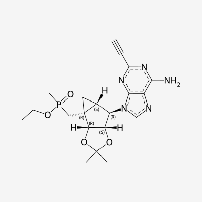 C#Cc1nc(N)c2ncn([C@H]3[C@@H]4OC(C)(C)O[C@@H]4[C@@]4(CP(C)(=O)OCC)C[C@H]34)c2n1